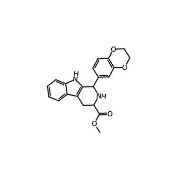 COC(=O)C1Cc2c([nH]c3ccccc23)C(c2ccc3c(c2)OCCO3)N1